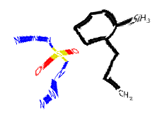 C=CCc1ccccc1[SiH3].[N-]=[N+]=NS(=O)(=O)N=[N+]=[N-]